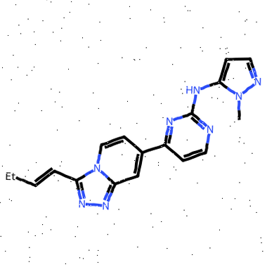 CCC=Cc1nnc2cc(-c3ccnc(Nc4ccnn4C)n3)ccn12